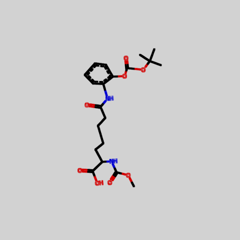 COC(=O)NC(CCCCC(=O)Nc1ccccc1OC(=O)OC(C)(C)C)C(=O)O